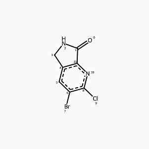 O=C1NCc2cc(Br)c(Cl)nc21